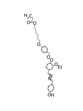 C=CC(=O)OCCCCCCOc1ccc(COOc2ccc(/C=N/N=C/c3ccc(O)cc3)cc2OCC)cc1